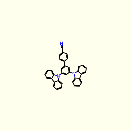 N#Cc1ccc(-c2cc(-n3c4ccccc4c4ccccc43)cc(-n3c4ccccc4c4ccccc43)c2)cc1